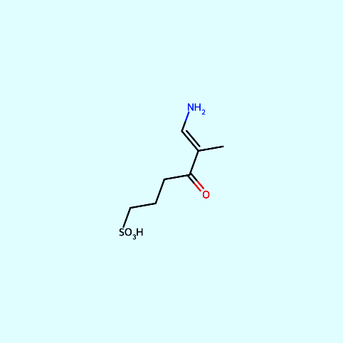 CC(=CN)C(=O)CCCS(=O)(=O)O